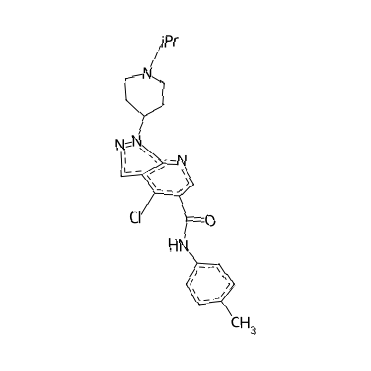 Cc1ccc(NC(=O)c2cnc3c(cnn3C3CCN(C(C)C)CC3)c2Cl)cc1